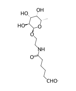 C[C@@H]1O[C@@H](OCCNC(=O)CCCC[C]=O)[C@@H](O)[C@H](O)[C@@H]1O